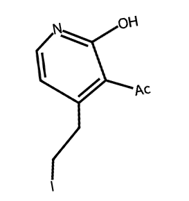 CC(=O)c1c(CCI)ccnc1O